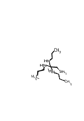 CCCNC(C[SiH3])(NCCC)NCCC